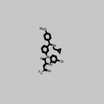 COc1ccc(C(NCC2CC2)c2cccc(NC(=O)/C(=C/C(=N)C(F)(F)F)Nc3cccc(C#N)c3)c2)cc1